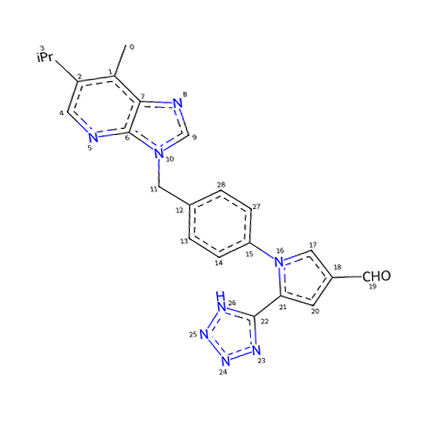 Cc1c(C(C)C)cnc2c1ncn2Cc1ccc(-n2cc(C=O)cc2-c2nnn[nH]2)cc1